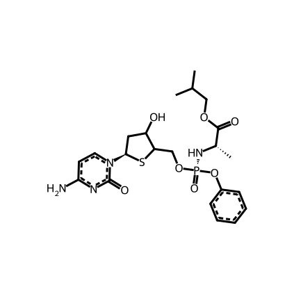 CC(C)COC(=O)[C@H](C)N[P@](=O)(OCC1S[C@@H](n2ccc(N)nc2=O)CC1O)Oc1ccccc1